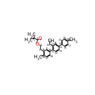 C=C(C)C(=O)OCCc1cc(-c2ccc(-c3ccc(C)cc3)cc2CC)ccc1C